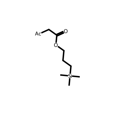 CC(=O)CC(=O)OCCC[Si](C)(C)C